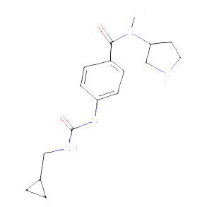 CN(C(=O)c1ccc(NC(=O)NCC2CC2)cc1)C1CCNC1